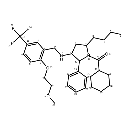 CCCCC1CC(NCc2cc(C(F)(F)F)ccc2OCCOC)C(c2ccccc2)N1C(=O)C1CCCCC1